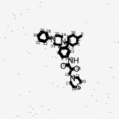 CC1CCC(c2cccc(NC(=O)C(=O)CN3CCSCC3)c2)(N2CCN(c3ccccc3)CC2)CC1